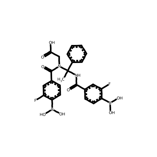 CC(NC(=O)c1ccc(B(O)O)c(F)c1)(c1ccccc1)N(CC(=O)O)C(=O)c1ccc(B(O)O)c(F)c1